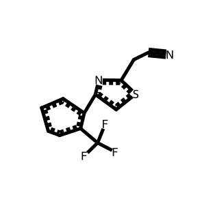 N#CCc1nc(-c2ccccc2C(F)(F)F)cs1